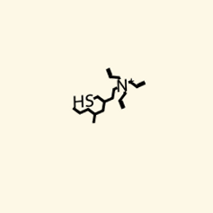 C=CC[N+](CC=C)(CC=C)CCC(CS)CC(C)CCC